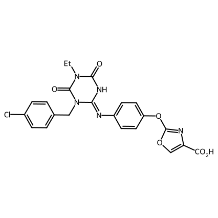 CCn1c(=O)[nH]/c(=N\c2ccc(Oc3nc(C(=O)O)co3)cc2)n(Cc2ccc(Cl)cc2)c1=O